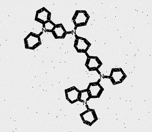 C1=CCC(n2c3c(c4cc(N(c5ccccc5)c5ccc(-c6ccc(N(c7ccccc7)c7ccc8c(c7)c7ccccc7n8-c7ccccc7)cc6)cc5)ccc42)C=CCC3)C=C1